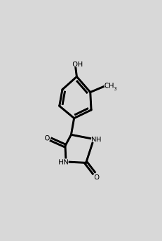 Cc1cc(C2NC(=O)NC2=O)ccc1O